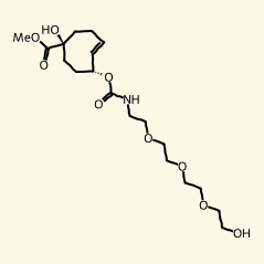 COC(=O)[C@]1(O)CC/C=C/[C@H](OC(=O)NCCOCCOCCOCCO)CC1